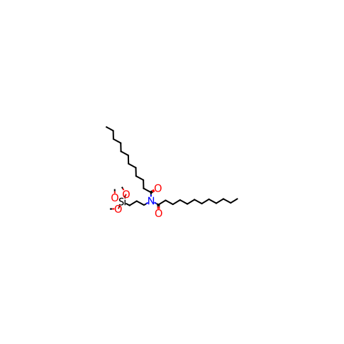 CCCCCCCCCCCC(=O)N(CCC[Si](OC)(OC)OC)C(=O)CCCCCCCCCCC